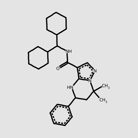 CC1(C)CC(c2ccccc2)Nc2c(C(=O)NC(C3CCCCC3)C3CCCCC3)cnn21